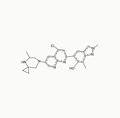 Cc1c(O)c(-c2cc(Cl)c3cc(N4CC(C)NC5(CC5)C4)cnc3n2)cc2cn(C)nc12